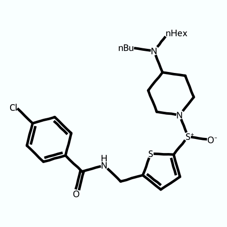 CCCCCCN(CCCC)C1CCN([S+]([O-])c2ccc(CNC(=O)c3ccc(Cl)cc3)s2)CC1